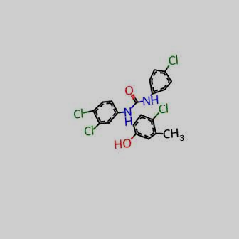 Cc1cc(O)ccc1Cl.O=C(Nc1ccc(Cl)cc1)Nc1ccc(Cl)c(Cl)c1